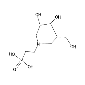 O=P(O)(O)CCN1CC(O)C(O)C(CO)C1